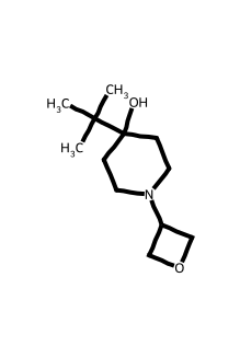 CC(C)(C)C1(O)CCN(C2COC2)CC1